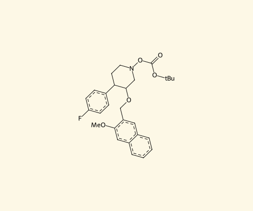 COc1cc2ccccc2cc1COC1CN(OC(=O)OC(C)(C)C)CCC1c1ccc(F)cc1